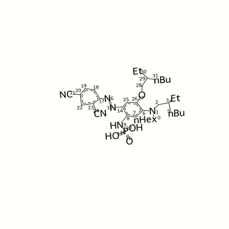 CCCCCCN(CC(CC)CCCC)c1cc(NP(=O)(O)O)c(/N=N/c2ccc(C#N)cc2C#N)cc1OCC(CC)CCCC